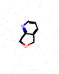 [CH]1OCc2cccnc21